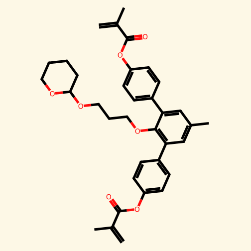 C=C(C)C(=O)Oc1ccc(-c2cc(C)cc(-c3ccc(OC(=O)C(=C)C)cc3)c2OCCCOC2CCCCO2)cc1